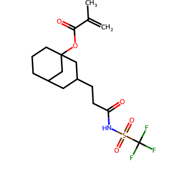 C=C(C)C(=O)OC12CCCC(CC(CCC(=O)NS(=O)(=O)C(F)(F)F)C1)C2